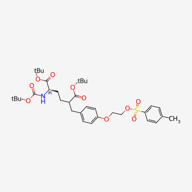 Cc1ccc(S(=O)(=O)OCCOc2ccc(CC(CC[C@@H](NC(=O)OC(C)(C)C)C(=O)OC(C)(C)C)C(=O)OC(C)(C)C)cc2)cc1